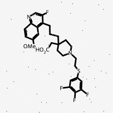 COc1ccc2ncc(F)c(CCCC3(CC(=O)O)CCN(CCSc4cc(F)c(F)c(F)c4)CC3)c2c1